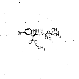 CCOC(=O)c1c(CNC(=O)OC(C)(C)C)[nH]c2ccc(Br)cc12